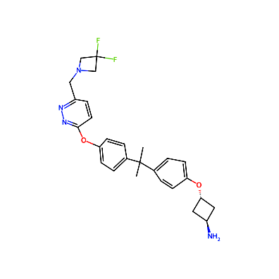 CC(C)(c1ccc(Oc2ccc(CN3CC(F)(F)C3)nn2)cc1)c1ccc(O[C@H]2C[C@H](N)C2)cc1